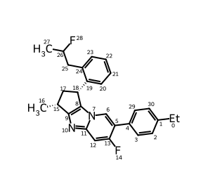 CCc1ccc(-c2cn3c4c(nc3cc2F)[C@H](C)C[C@@H]4c2ccccc2CC(C)F)cc1